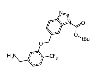 CC(C)(C)OC(=O)n1cnc2ccc(COc3cc(CN)ccc3C(F)(F)F)cc21